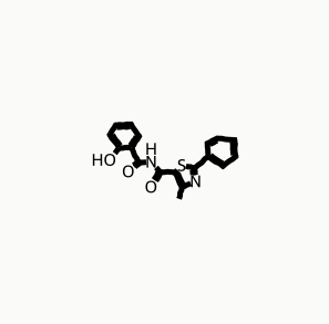 Cc1nc(-c2ccccc2)sc1C(=O)NC(=O)c1ccccc1O